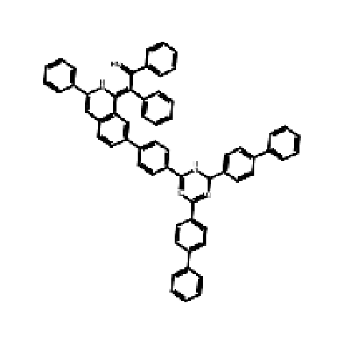 N=C(/C(=C1\NC(c2ccccc2)=Cc2ccc(-c3ccc(C4=NC(c5ccc(-c6ccccc6)cc5)=NC(c5ccc(-c6ccccc6)cc5)N4)cc3)cc21)c1ccccc1)c1ccccc1